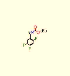 CC(C)(C)OC(=O)N1CC1c1cc(F)c(F)cc1F